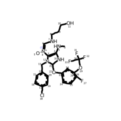 CNC1=C(/[N+]([O-])=C\NCCCO)N(Cc2ccc(Cl)cc2)C(Oc2ccc(F)c(OC(F)(F)F)c2)N1